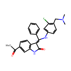 COC(=O)c1ccc2c(c1)NC(=O)/C2=C(\Nc1ccc(CN(C)C)c(F)c1)c1ccccc1